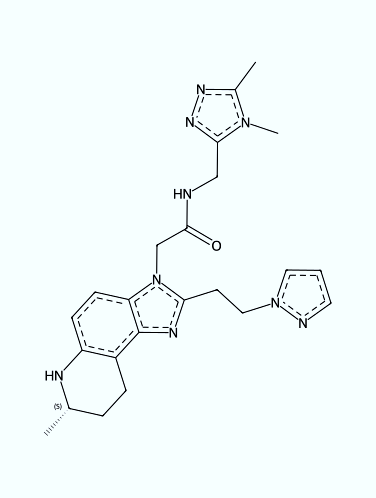 Cc1nnc(CNC(=O)Cn2c(CCn3cccn3)nc3c4c(ccc32)N[C@@H](C)CC4)n1C